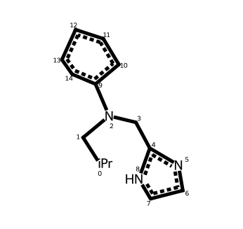 CC(C)CN(Cc1ncc[nH]1)c1ccccc1